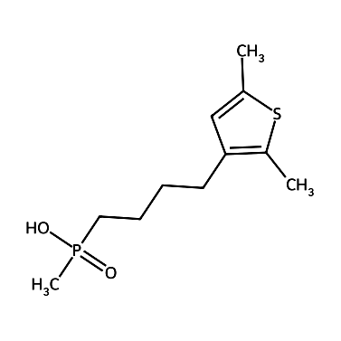 Cc1cc(CCCCP(C)(=O)O)c(C)s1